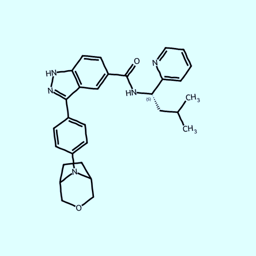 CC(C)C[C@H](NC(=O)c1ccc2[nH]nc(-c3ccc(N4C5CCC4COC5)cc3)c2c1)c1ccccn1